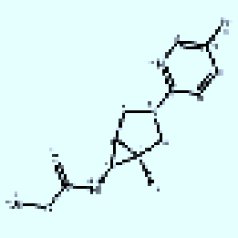 CC(C)(C)OC(=O)N[C@H]1C2CN(c3ccc(Br)cn3)C[C@@H]21